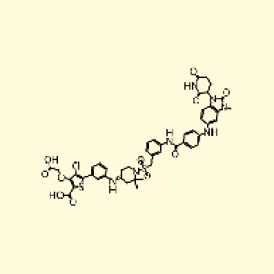 Cn1c(=O)n(C2CCC(=O)NC2=O)c2ccc(Nc3ccc(C(=O)Nc4cccc(CS(=O)(=O)N5CC[C@H](Nc6cccc(-c7sc(C(=O)O)c(OCC(=O)O)c7Cl)c6)CC5(C)C)c4)cc3)cc21